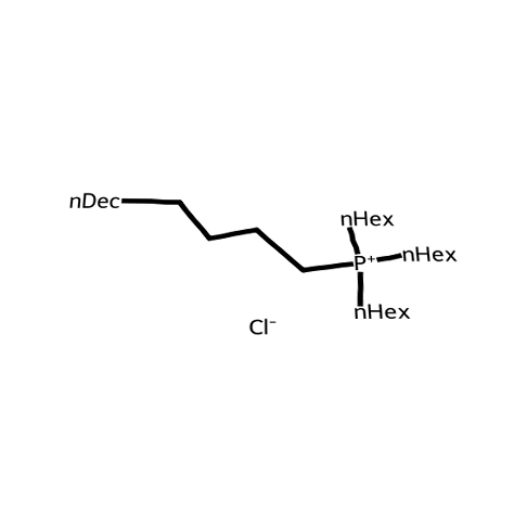 CCCCCCCCCCCCCC[P+](CCCCCC)(CCCCCC)CCCCCC.[Cl-]